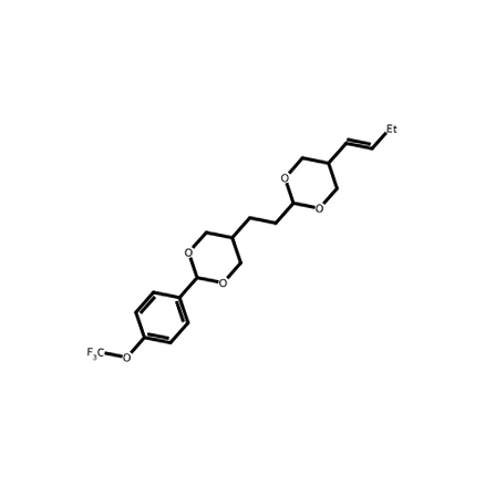 CCC=CC1COC(CCC2COC(c3ccc(OC(F)(F)F)cc3)OC2)OC1